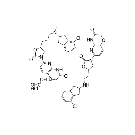 CN(CCCC1CN(c2ccc3c(n2)NC(=O)CO3)C(=O)O1)C1Cc2cccc(Cl)c2C1.Cl.O=C1COc2ccc(N3CC(CCNC4Cc5cccc(Cl)c5C4)OC3=O)nc2N1.O=CO